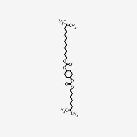 CC(C)CCCCCCCCCCOC(=O)OC1CCC(OC(=O)OCCCCCCC(C)C)CC1